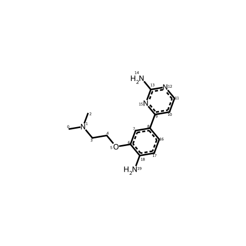 CN(C)CCOc1cc(-c2ccnc(N)n2)ccc1N